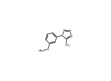 CCCCOc1cccc(-n2nnnc2C)c1